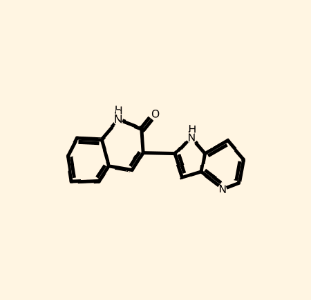 O=c1[nH]c2ccccc2cc1-c1cc2ncccc2[nH]1